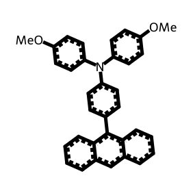 COc1ccc(N(c2ccc(OC)cc2)c2ccc(-c3c4ccccc4cc4ccccc34)cc2)cc1